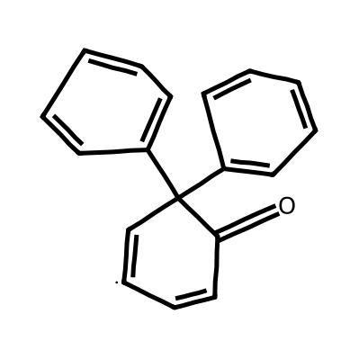 O=C1C=C[C]=CC1(c1ccccc1)c1ccccc1